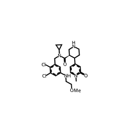 COCCNc1cc(Cl)c(Cl)c(CN(C(=O)[C@H]2CNCCC2c2ccn(C)c(=O)c2)C2CC2)c1